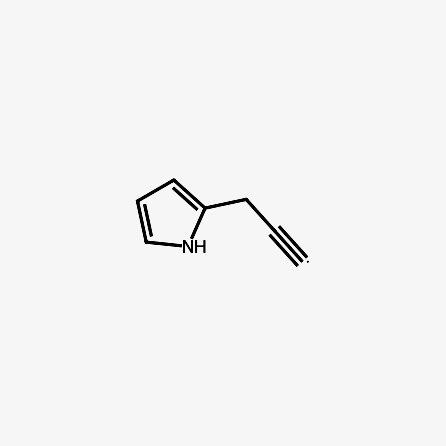 [C]#CCc1ccc[nH]1